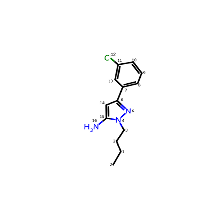 CCCCn1nc(-c2cccc(Cl)c2)cc1N